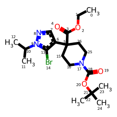 CCOC(=O)C1(c2cnn(C(C)C)c2Br)CCN(C(=O)OC(C)(C)C)CC1